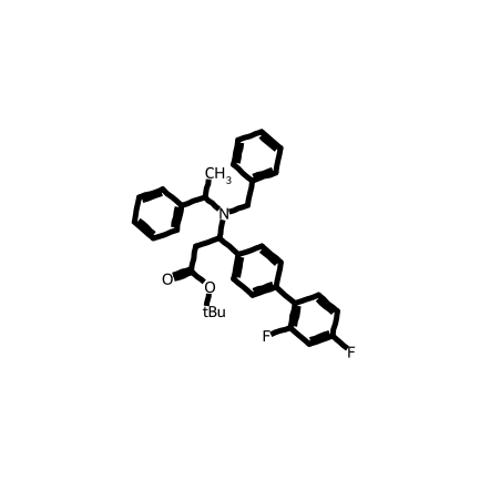 CC(c1ccccc1)N(Cc1ccccc1)C(CC(=O)OC(C)(C)C)c1ccc(-c2ccc(F)cc2F)cc1